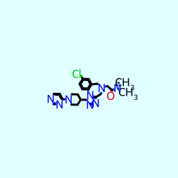 CN(C)C(=O)CN1Cc2cc(Cl)ccc2-n2c(nnc2C2CCN(c3ccncn3)CC2)C1